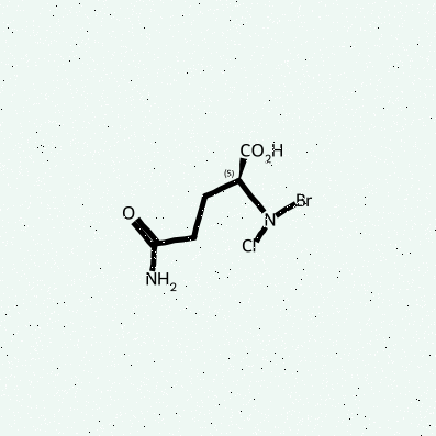 NC(=O)CC[C@@H](C(=O)O)N(Cl)Br